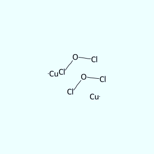 ClOCl.ClOCl.[Cu].[Cu]